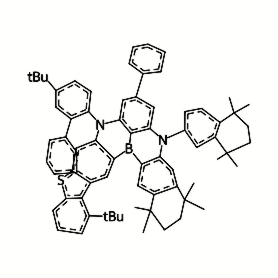 CC(C)(C)c1ccc(N2c3cc4sc5cccc(C(C)(C)C)c5c4cc3B3c4cc5c(cc4N(c4ccc6c(c4)C(C)(C)CCC6(C)C)c4cc(-c6ccccc6)cc2c43)C(C)(C)CCC5(C)C)c(-c2ccccc2)c1